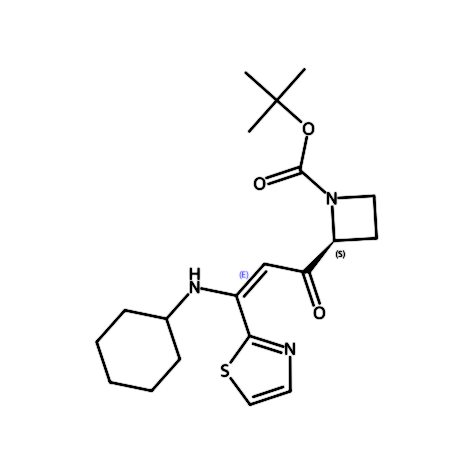 CC(C)(C)OC(=O)N1CC[C@H]1C(=O)/C=C(/NC1CCCCC1)c1nccs1